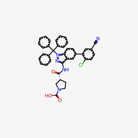 N#Cc1ccc(Cl)c(-c2ccc3c(c2)c(NC(=O)[C@@H]2CCN(C(=O)O)C2)nn3C(c2ccccc2)(c2ccccc2)c2ccccc2)c1